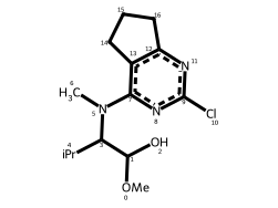 COC(O)C(C(C)C)N(C)c1nc(Cl)nc2c1CCC2